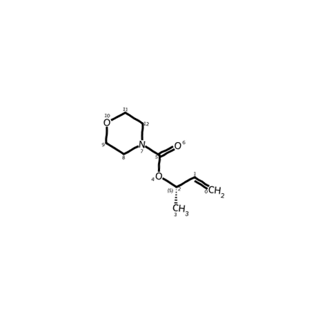 C=C[C@H](C)OC(=O)N1CCOCC1